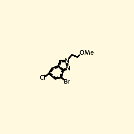 COCCn1cc2cc(Cl)cc(Br)c2n1